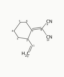 C=CC1CCCCC1=C(C#N)C#N